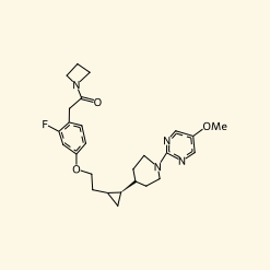 COc1cnc(N2CCC([C@H]3CC3CCOc3ccc(CC(=O)N4CCC4)c(F)c3)CC2)nc1